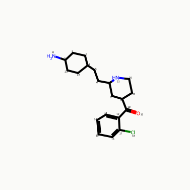 NC1CCC(CCC2CC(C(=O)c3ccccc3Cl)CCN2)CC1